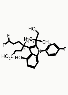 CC(C)(CO)c1c([C@](C)(CCC(=O)O)CCC(F)F)c2c(O)cccc2n1-c1ccc(F)cc1